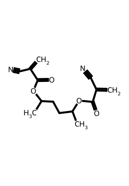 C=C(C#N)C(=O)OC(C)CCC(C)OC(=O)C(=C)C#N